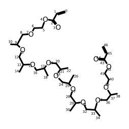 C=CC(=O)OCCOCC(C)OCC(C)OCC(C)OCC(C)OCC(C)OCC(C)OCC(C)OCC(C)OCCOC(=O)C=C